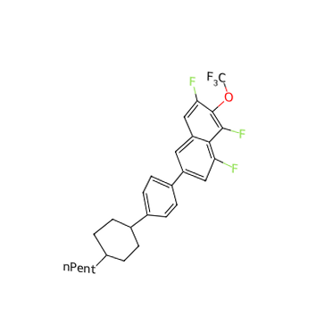 CCCCCC1CCC(c2ccc(-c3cc(F)c4c(F)c(OC(F)(F)F)c(F)cc4c3)cc2)CC1